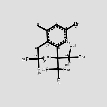 Cc1[c]c(Br)nc(C(F)(C(F)(F)F)C(F)(F)F)c1CC(F)(F)F